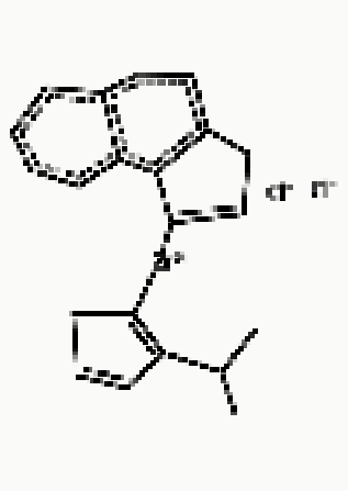 CC(C)C1=[C]([Zr+2][C]2=CCc3ccc4ccccc4c32)CC=C1.[Cl-].[Cl-]